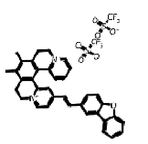 Cc1c(C)c2c(c3c1CC[n+]1ccc(C=Cc4ccc5oc6ccccc6c5c4)cc1-3)-c1c3ccccc3cc[n+]1CC2.O=S(=O)([O-])C(F)(F)F.O=S(=O)([O-])C(F)(F)F